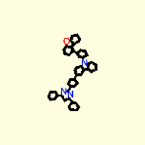 c1ccc(-c2cc(-c3ccccc3)nc(-c3ccc(-c4ccc5c(c4)c4ccccc4n5-c4cccc(-c5cccc6oc7ccccc7c56)c4)cc3)n2)cc1